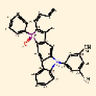 C=C/C=C\C1=C(C)c2cc3c(cc2P1(=O)c1ccccc1)c1ccccc1n3-c1cc(C#N)cc(C#N)c1